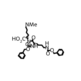 CNCCCC[C@H](NC(=O)[C@H](CCCCNC(=O)OCc1ccccc1)NC(=O)OCc1ccccc1)C(=O)O